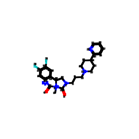 C[N+]1(C(N)=O)C(=O)N(CCCN2CCC(c3ccccn3)CC2)CC1c1ccc(F)c(F)c1